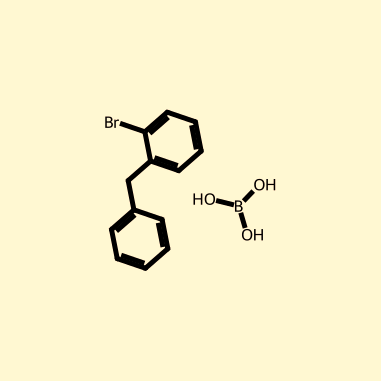 Brc1ccccc1Cc1ccccc1.OB(O)O